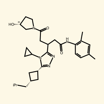 Cc1ccc(NC(=O)CC(CC(=O)N2CC[C@@H](O)C2)c2nnc([C@H]3C[C@@H](CC(C)C)C3)n2C2CC2)c(C)c1